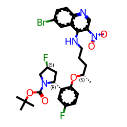 C[C@@H](CCCNc1c([N+](=O)[O-])cnc2ccc(Br)cc12)Oc1ccc(F)cc1[C@H]1C[C@H](F)CN1C(=O)OC(C)(C)C